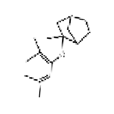 CC(C)=CC(OC1(C)CC2CCC1C2)=C(C)C